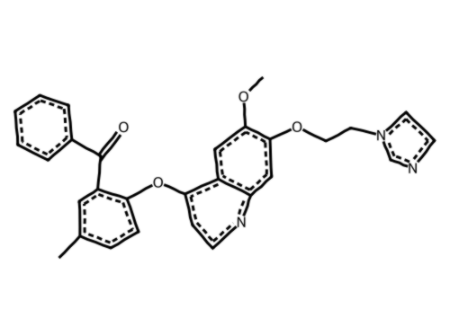 COc1cc2c(Oc3ccc(C)cc3C(=O)c3ccccc3)ccnc2cc1OCCn1ccnc1